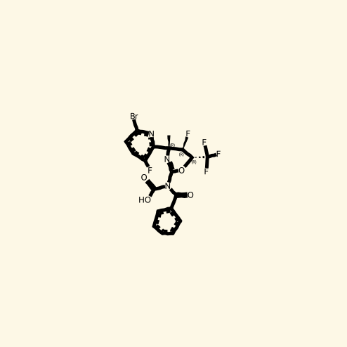 C[C@]1(c2nc(Br)ccc2F)N=C(N(C(=O)O)C(=O)c2ccccc2)O[C@@H](C(F)(F)F)[C@@H]1F